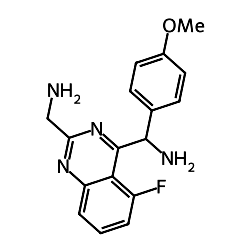 COc1ccc(C(N)c2nc(CN)nc3cccc(F)c23)cc1